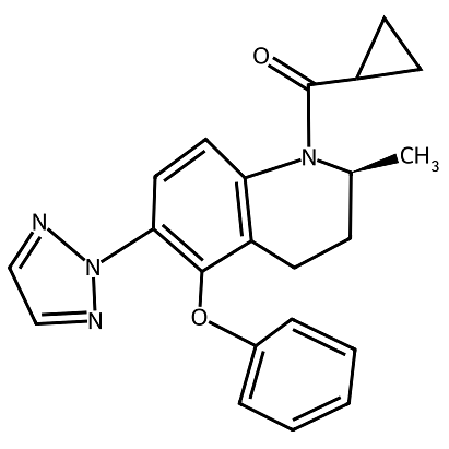 C[C@H]1CCc2c(ccc(-n3nccn3)c2Oc2ccccc2)N1C(=O)C1CC1